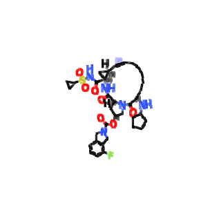 O=C1N[C@]2(C(=O)NS(=O)(=O)C3CC3)C[C@H]2/C=C\CCCCC[C@H](NC2CCCC2)C(=O)N2C[C@H](OC(=O)N3Cc4cccc(F)c4C3)C[C@@H]12